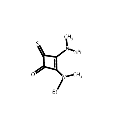 CCCN(C)c1c(N(C)CC)c(=O)c1=S